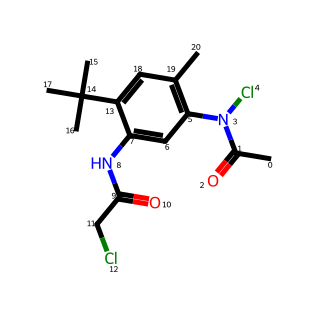 CC(=O)N(Cl)c1cc(NC(=O)CCl)c(C(C)(C)C)cc1C